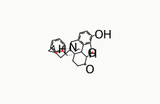 O=C1CC[C@@]2(Cc3ccccc3)[C@H]3Cc4ccc(O)c5c4[C@@]2(CCN3CC2CC2)[C@H]1O5